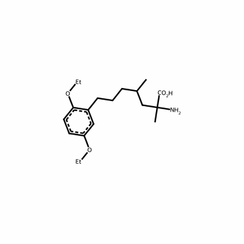 CCOc1ccc(OCC)c(CCCC(C)CC(C)(N)C(=O)O)c1